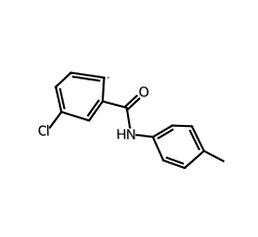 Cc1ccc(NC(=O)c2[c]ccc(Cl)c2)cc1